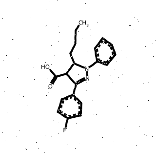 CCCCC1C(C(=O)O)C(c2ccc(F)cc2)=NN1c1ccccc1